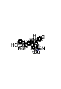 C[C@H](N(C(=O)O)C(Cc1ccccc1)c1ccc2c(c1)nc(NC(=O)c1ccc(Cl)cc1)n2CC1CCCN1C(=O)/C(C#N)=C/C(C)(C)C)C(C)(C)C